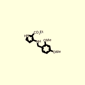 CCOC(=O)c1[nH]ccc1NCc1ccc(OC)cc1OC